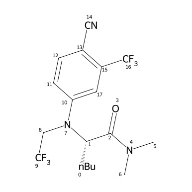 CCCC[C@@H](C(=O)N(C)C)N(CC(F)(F)F)c1ccc(C#N)c(C(F)(F)F)c1